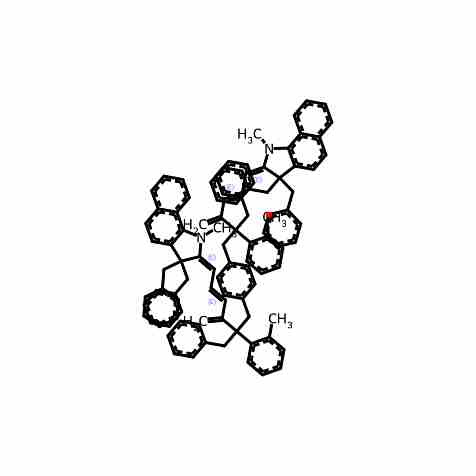 C=C(/C=C/C=C1/N(C)c2c(ccc3ccccc23)C1(Cc1ccccc1)Cc1ccccc1)C(Cc1ccccc1)(Cc1ccc(CC(Cc2ccccc2)(C(=C)/C=C/C=C2/N(C)c3c(ccc4ccccc34)C2(Cc2ccccc2)Cc2ccccc2)c2ccccc2C)cc1)c1ccccc1C